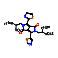 CCCCCCCCC(CCCCCC)CN1C(=O)C2=C(c3nccs3)N(CC(CCCCCC)CCCCCCCC)C(=O)C2=C1c1cncs1